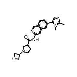 Cc1ncc(-c2ccc3cnc(NC(=O)C4CCN(C5COC5)C4)cc3c2)n1C